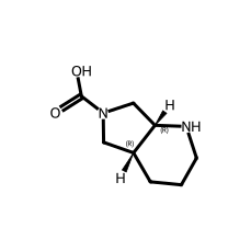 O=C(O)N1C[C@H]2CCCN[C@H]2C1